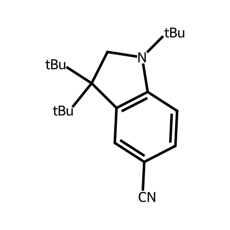 CC(C)(C)N1CC(C(C)(C)C)(C(C)(C)C)c2cc(C#N)ccc21